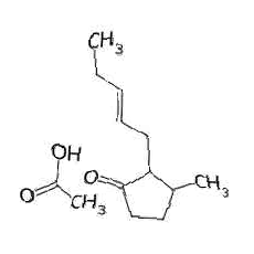 CC(=O)O.CCC=CCC1C(=O)CCC1C